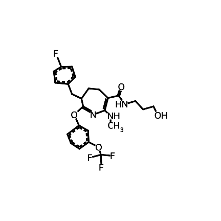 CNC1=C(C(=O)NCCCO)CCC(Cc2ccc(F)cc2)C(Oc2cccc(OC(F)(F)F)c2)=N1